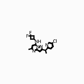 Cc1cc(NC2CC(F)(F)C2)n2nc(C(C)c3ccc(Cl)cn3)cc2n1